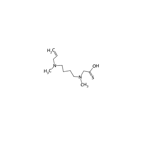 C=CCN(C)CCCCN(C)CC(O)=S